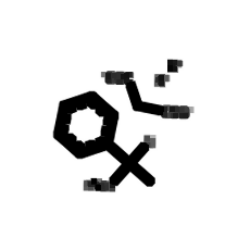 O=C([O-])CC(=O)[O-].[K+].[K+].[Li][C](C)(CCCCCCCCC)c1ccccc1